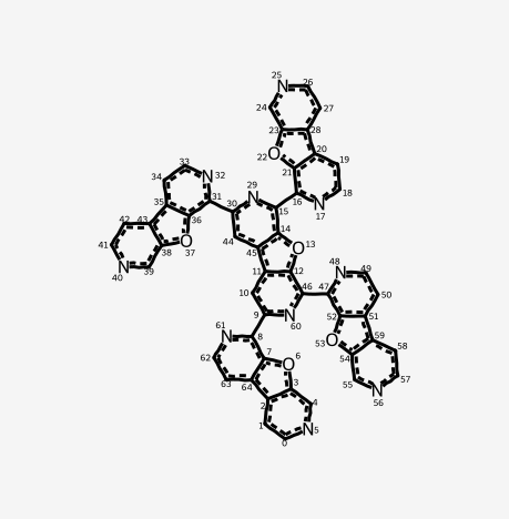 c1cc2c(cn1)oc1c(-c3cc4c(oc5c(-c6nccc7c6oc6cnccc67)nc(-c6nccc7c6oc6cnccc67)cc54)c(-c4nccc5c4oc4cnccc45)n3)nccc12